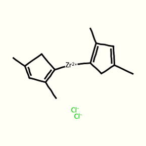 CC1=CC(C)=[C]([Zr+2][C]2=C(C)C=C(C)C2)C1.[Cl-].[Cl-]